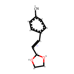 N#Cc1ccc(/C=C/C2OCCO2)cc1